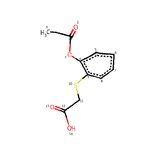 CC(=O)Oc1ccccc1SCC(=O)O